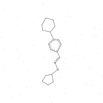 [C](=N\OC1CCCC1)/c1ccc(C2CCCCC2)cc1